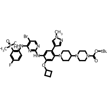 Cn1cc(-c2cc(Nc3ncc(Br)c(Nc4ccc(F)cc4P(C)(C)=O)n3)c(OC3CCC3)cc2N2CCC(N3CCN(C(=O)OC(C)(C)C)CC3)CC2)cn1